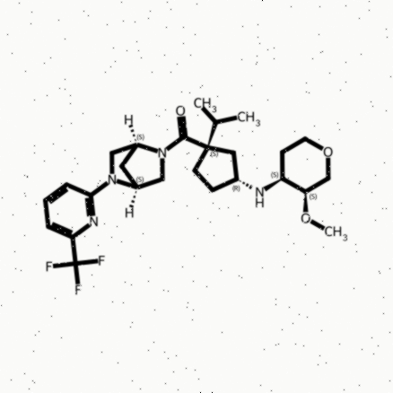 CO[C@@H]1COCC[C@@H]1N[C@@H]1CC[C@@](C(=O)N2C[C@@H]3C[C@H]2CN3c2cccc(C(F)(F)F)n2)(C(C)C)C1